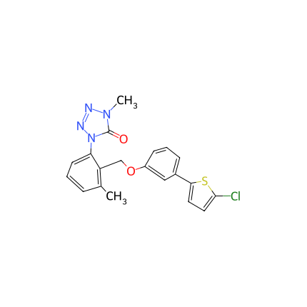 Cc1cccc(-n2nnn(C)c2=O)c1COc1cccc(-c2ccc(Cl)s2)c1